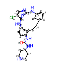 O=C(Nc1ccc2cc1CCC1C=CC=C(C1)Nc1ncc(Cl)c(n1)N2)NC1CCNCC1